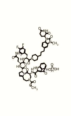 COC(=O)N1CCC2=CC[C@@H](C(=O)N[C@@H](CCC(N)=O)C(=O)N[C@@H](Cc3ccc(F)c(F)c3)C(=O)N3CCC(CCCc4ccc5c(c4)n(C)c(=O)n5C4CCC(=O)NC4=O)CC3)N2C(=O)[C@@H](NC(=O)c2[nH]c3ccc4cc3c2C4=O)C1.O=[PH](O)O